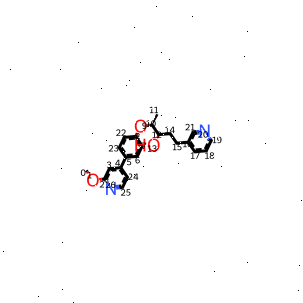 COc1cc(-c2ccc(O[C@@H](C)[C@H](O)CCc3cccnc3)cc2)ccn1